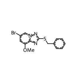 COc1cc(Br)cn2nc(SCc3ccccc3)nc12